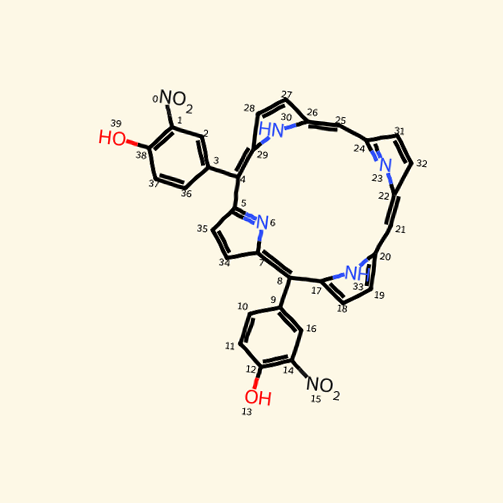 O=[N+]([O-])c1cc(-c2c3nc(c(-c4ccc(O)c([N+](=O)[O-])c4)c4ccc(cc5nc(cc6ccc2[nH]6)C=C5)[nH]4)C=C3)ccc1O